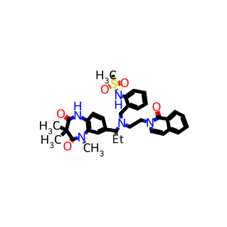 CCC(c1ccc2c(c1)N(C)C(=O)C(C)(C)C(=O)N2)N(CCn1ccc2ccccc2c1=O)Cc1ccccc1NS(C)(=O)=O